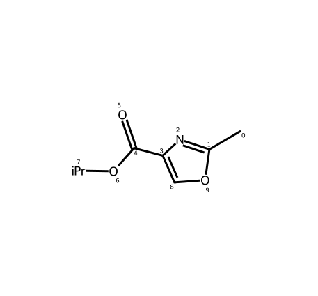 Cc1nc(C(=O)OC(C)C)co1